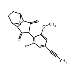 CC#Cc1cc(F)c(C2C(=O)C3C4CCC(O4)C3C2=O)c(OC)c1